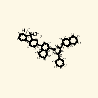 CC1(C)c2ccccc2-c2ccc(-c3ccc(-c4nc(-c5ccccc5)cc(-c5ccc6ccccc6c5)n4)c4ccccc34)cc21